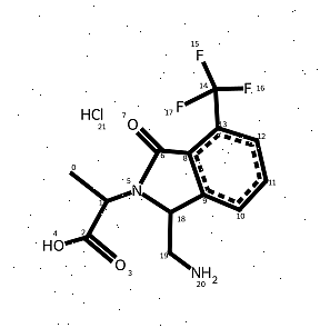 CC(C(=O)O)N1C(=O)c2c(cccc2C(F)(F)F)C1CN.Cl